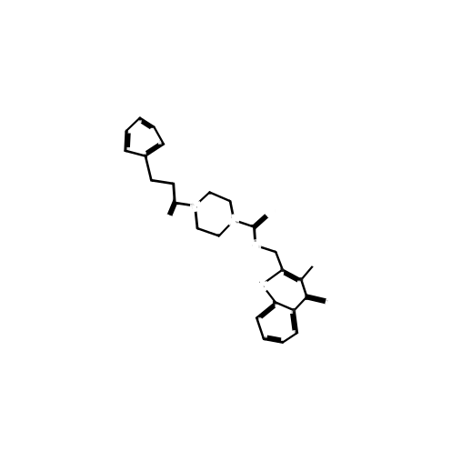 Cc1c(COC(=O)N2CCN(C(=O)CCc3ccccc3)CC2)[nH]c2ccccc2c1=O